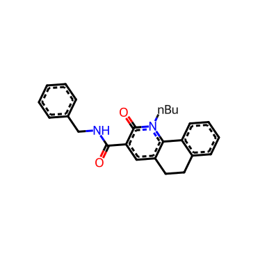 CCCCn1c2c(cc(C(=O)NCc3ccccc3)c1=O)CCc1ccccc1-2